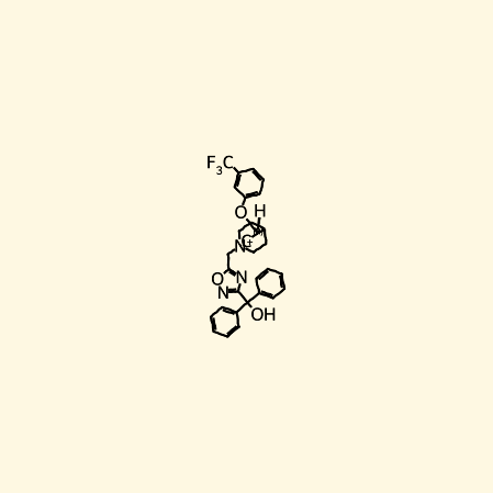 OC(c1ccccc1)(c1ccccc1)c1noc(C[N+]23CCC(CC2)[C@@H](Oc2cccc(C(F)(F)F)c2)C3)n1